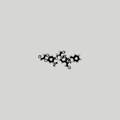 CN(C)c1cc2c(cc1OC[C@@H](C=O)N(C)CCc1c(C=O)nn(Cc3ccccc3)c1Cl)OCC(C=O)O2